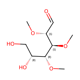 CO[C@@H]([C@H](OC)[C@@H](C=O)OC)[C@H](O)CO